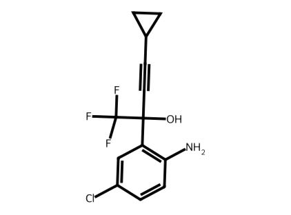 Nc1ccc(Cl)cc1C(O)(C#CC1CC1)C(F)(F)F